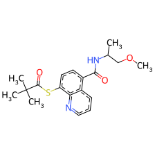 COCC(C)NC(=O)c1ccc(SC(=O)C(C)(C)C)c2ncccc12